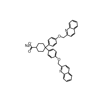 O=C([O-])C1CCC(c2ccc(OCc3ccc4ccccc4n3)cc2)(c2ccc(OCc3ccc4ccccc4n3)cc2)CC1.[Na+]